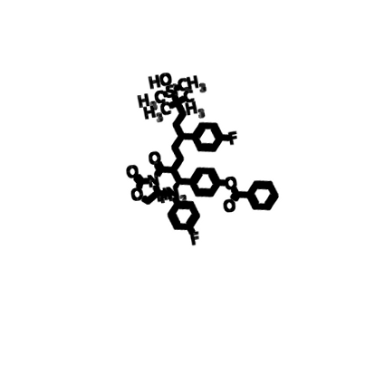 CC(C)(CCC(CCC(C(=O)N1C(=O)OCC1P)[C@H](Nc1ccc(F)cc1)c1ccc(OC(=O)c2ccccc2)cc1)c1ccc(F)cc1)[Si](C)(C)O